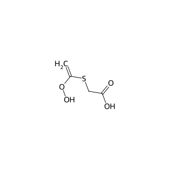 C=C(OO)SCC(=O)O